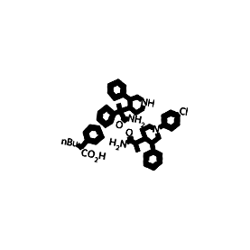 CC(C(N)=O)(c1ccccc1)C1CCNCC1c1ccccc1.CC(C(N)=O)C1CCN(c2ccc(Cl)cc2)CC1c1ccccc1.CCCCC(C(=O)O)c1ccccc1